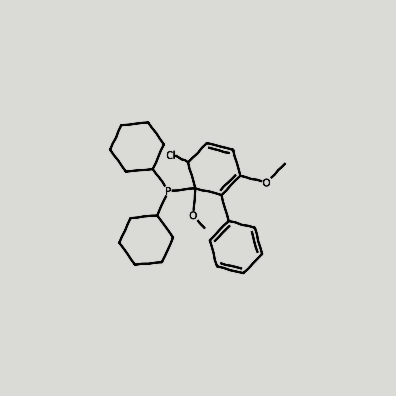 COC1=C(c2ccccc2)C(OC)(P(C2CCCCC2)C2CCCCC2)C(Cl)C=C1